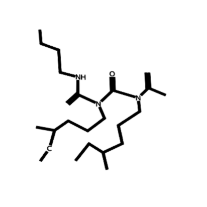 C=C(C)N(CCCC(C)CC)C(=O)N(CCCC(C)CC)C(=C)NCCCC